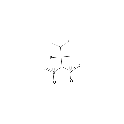 O=[SH](=O)C([SH](=O)=O)C(F)(F)C(F)F